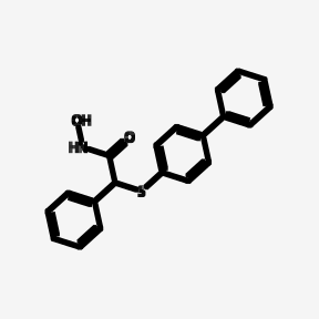 O=C(NO)C(Sc1ccc(-c2ccccc2)cc1)c1ccccc1